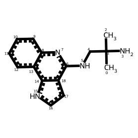 CC(C)(N)CNc1nc2ccccc2c2[nH]ccc12